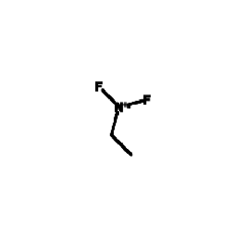 CC[N+](F)F